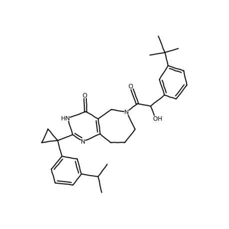 CC(C)c1cccc(C2(c3nc4c(c(=O)[nH]3)CN(C(=O)C(O)c3cccc(C(C)(C)C)c3)CCC4)CC2)c1